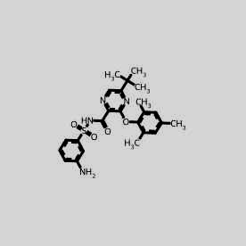 Cc1cc(C)c(Oc2nc(C(C)(C)C)cnc2C(=O)NS(=O)(=O)c2cccc(N)c2)c(C)c1